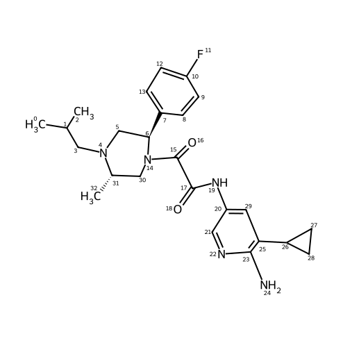 CC(C)CN1C[C@@H](c2ccc(F)cc2)N(C(=O)C(=O)Nc2cnc(N)c(C3CC3)c2)C[C@@H]1C